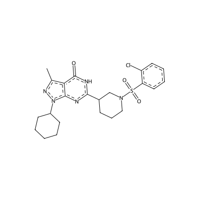 Cc1nn(C2CCCCC2)c2nc(C3CCCN(S(=O)(=O)c4ccccc4Cl)C3)[nH]c(=O)c12